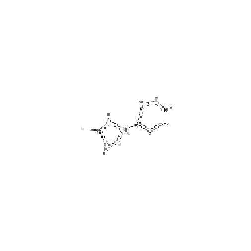 Cc1ncn(-c2ccncc2)n1